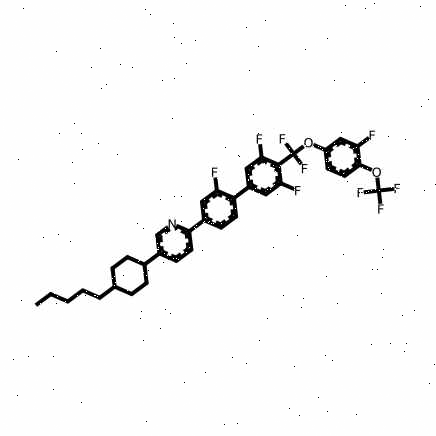 CCCCCC1CCC(c2ccc(-c3ccc(-c4cc(F)c(C(F)(F)Oc5ccc(OC(F)(F)F)c(F)c5)c(F)c4)c(F)c3)nc2)CC1